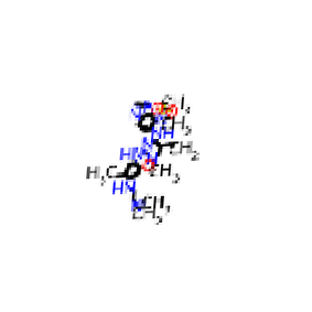 C=Cc1cnc(Nc2cc(CC)c(NCCN(C)C)cc2OC)nc1Nc1ccc2nccnc2c1N(C)S(C)(=O)=O